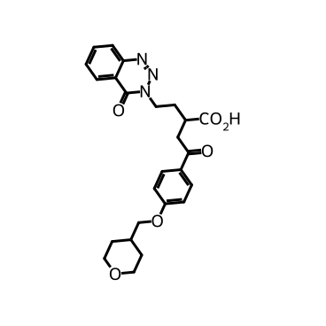 O=C(CC(CCn1nnc2ccccc2c1=O)C(=O)O)c1ccc(OCC2CCOCC2)cc1